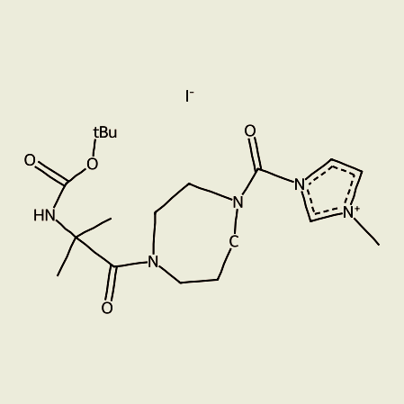 C[n+]1ccn(C(=O)N2CCCN(C(=O)C(C)(C)NC(=O)OC(C)(C)C)CC2)c1.[I-]